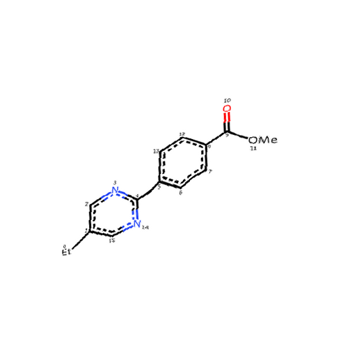 CCc1cnc(-c2ccc(C(=O)OC)cc2)nc1